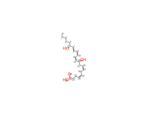 CCCCCC(O)/C=C/C=C\C=C/C(O)C/C=C\C/C=C\CCC(=O)O